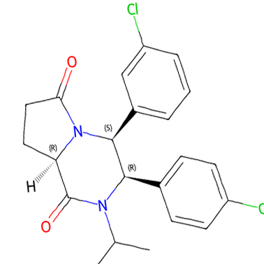 CC(C)N1C(=O)[C@H]2CCC(=O)N2[C@@H](c2cccc(Cl)c2)[C@H]1c1ccc(Cl)cc1